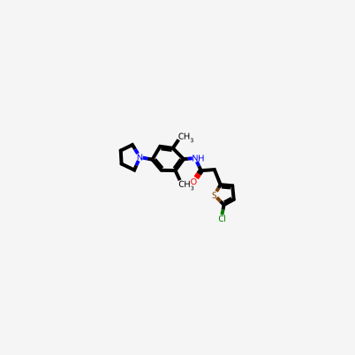 Cc1cc(N2CCCC2)cc(C)c1NC(=O)Cc1ccc(Cl)s1